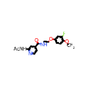 CC(=O)Nc1cc(C(=O)NCCOc2ccc(OC(F)(F)F)c(F)c2)ccn1